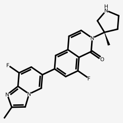 Cc1cn2cc(-c3cc(F)c4c(=O)n([C@@]5(C)CCNC5)ccc4c3)cc(F)c2n1